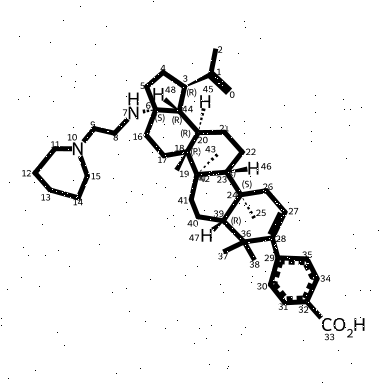 C=C(C)[C@@H]1CC[C@]2(NCCN3CCCCC3)CC[C@]3(C)[C@H](CC[C@@H]4[C@@]5(C)CC=C(c6ccc(C(=O)O)cc6)C(C)(C)[C@@H]5CC[C@]43C)[C@@H]12